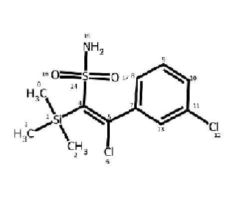 C[Si](C)(C)C(=C(Cl)c1cccc(Cl)c1)S(N)(=O)=O